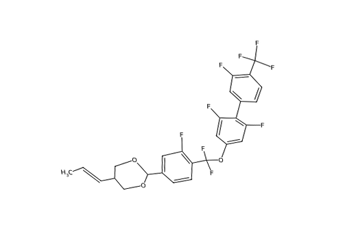 C/C=C/C1COC(c2ccc(C(F)(F)Oc3cc(F)c(-c4ccc(C(F)(F)F)c(F)c4)c(F)c3)c(F)c2)OC1